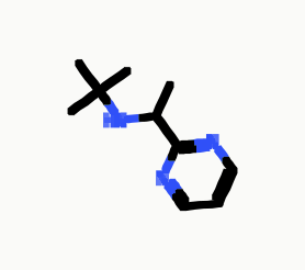 CC(NC(C)(C)C)c1ncccn1